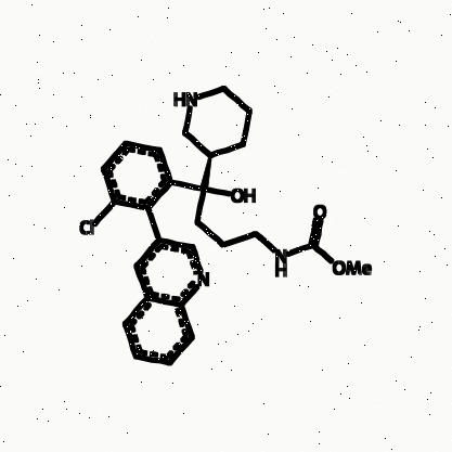 COC(=O)NCCCC(O)(c1cccc(Cl)c1-c1cnc2ccccc2c1)[C@@H]1CCCNC1